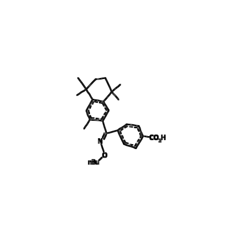 CCCCO/N=C(\c1ccc(C(=O)O)cc1)c1cc2c(cc1C)C(C)(C)CCC2(C)C